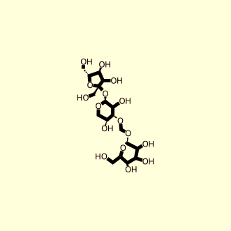 OCC1O[C@H](OCO[C@H]2C(O)[C@H](O[C@]3(CO)O[C@H](CO)[C@@H](O)C3O)OC[C@H]2O)C(O)C(O)[C@H]1O